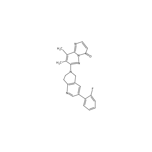 Cc1c(N2CCc3ncc(-c4ccccc4F)cc3C2)nn2c(=O)ccnc2c1C